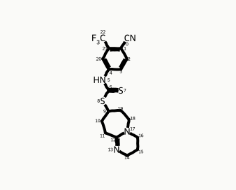 N#Cc1ccc(NC(=S)SC2CCC3=NCCCN3CC2)cc1C(F)(F)F